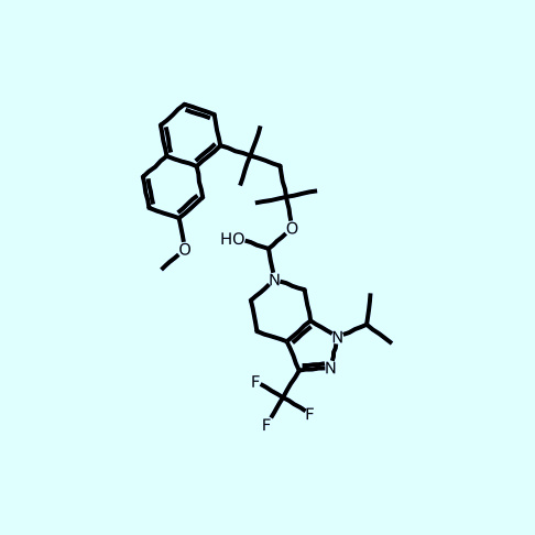 COc1ccc2cccc(C(C)(C)CC(C)(C)OC(O)N3CCc4c(C(F)(F)F)nn(C(C)C)c4C3)c2c1